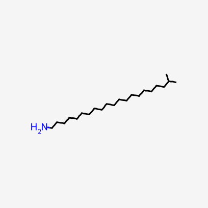 CC(C)CCCCCCCCCCCCCCCCCCCN